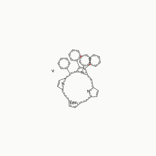 C1=Cc2cc3c(-c4ccccc4)c(-c4ccccc4)c(c(-c4ccccc4)c4nc(cc5ccc(cc1n2)[nH]5)C=C4)n3-c1ccccc1.[V]